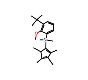 COc1c(C(C)(C)C)cccc1[Si](C)(C)C1=C(C)C(C)=C(C)C1C